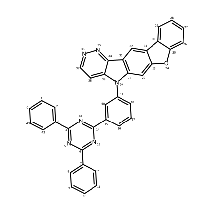 c1ccc(-c2nc(-c3ccccc3)nc(-c3cccc(-n4c5cc6oc7ccccc7c6cc5c5nnccc54)c3)n2)cc1